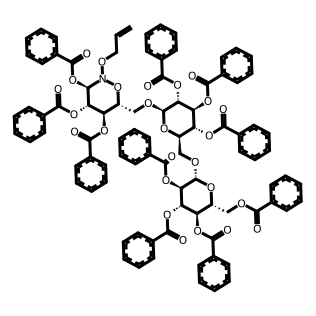 C=CCON1O[C@H](CO[C@@H]2O[C@H](CO[C@@H]3O[C@H](COC(=O)c4ccccc4)[C@@H](OC(=O)c4ccccc4)[C@H](OC(=O)c4ccccc4)[C@H]3OC(=O)c3ccccc3)[C@@H](OC(=O)c3ccccc3)[C@H](OC(=O)c3ccccc3)[C@H]2OC(=O)c2ccccc2)[C@@H](OC(=O)c2ccccc2)[C@H](OC(=O)c2ccccc2)[C@H]1OC(=O)c1ccccc1